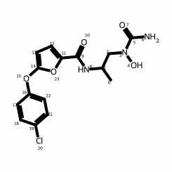 CC(CN(O)C(N)=O)NC(=O)c1ccc(Oc2ccc(Cl)cc2)o1